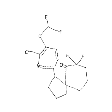 O=C1C(F)(F)CCCC12CCCC2c1ccc(OC(F)F)c(Cl)n1